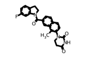 Cc1c(N2CCC(=O)NC2=O)ccc2ccc(C(=O)N3CCc4ccc(F)cc43)cc12